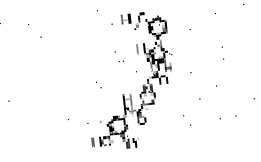 Cc1cccc(N2C[C@@H]3C[C@H]2CN3C(=O)CN2CC[C@@H](C(=O)Nc3ccc(O)c(C(C)C)c3)C2)c1